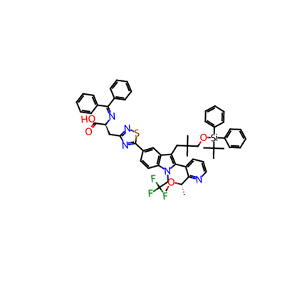 CO[C@@H](C)c1ncccc1-c1c(CC(C)(C)CO[Si](c2ccccc2)(c2ccccc2)C(C)(C)C)c2cc(-c3nc(C[C@H](N=C(c4ccccc4)c4ccccc4)C(=O)O)ns3)ccc2n1CC(F)(F)F